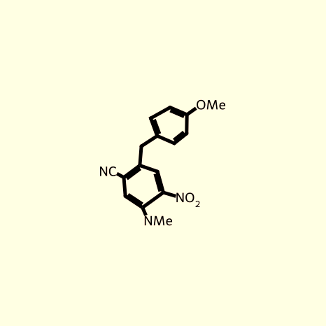 CNc1cc(C#N)c(Cc2ccc(OC)cc2)cc1[N+](=O)[O-]